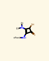 CCCCCNC1=C(N(CC)CC)C(S)C1=S